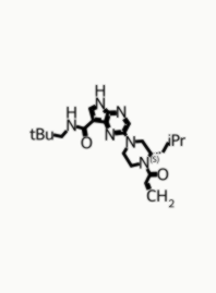 C=CC(=O)N1CCN(c2cnc3[nH]cc(C(=O)NCC(C)(C)C)c3n2)C[C@@H]1CC(C)C